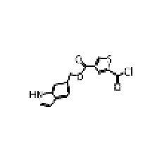 O=C(OCc1ccc2cc[nH]c2c1)c1csc(C(=O)Cl)c1